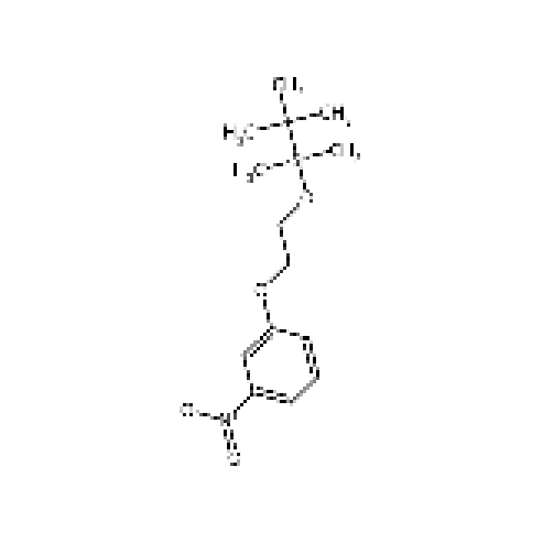 CC(C)(C)[Si](C)(C)OCCOc1cccc([N+](=O)[O-])c1